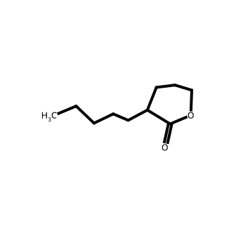 CCCCCC1CCCOC1=O